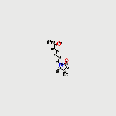 CCC1CC(=O)N(CCCCCC(=O)C(C)C)C1C